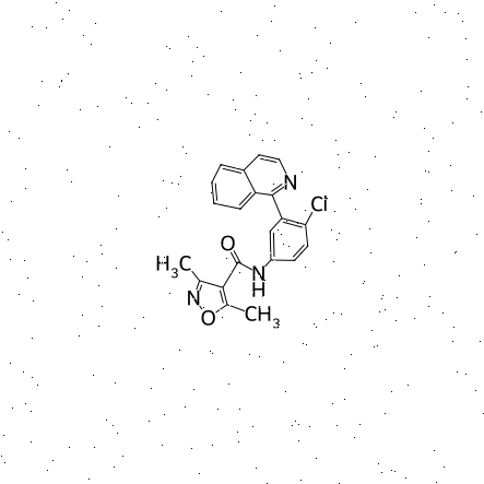 Cc1noc(C)c1C(=O)Nc1ccc(Cl)c(-c2nccc3ccccc23)c1